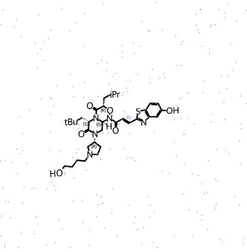 CC(C)C[C@H]1ON(C(=O)/C=C/c2nc3cc(O)ccc3s2)[C@H]2CN([C@@H]3CCN(CCCCO)C3)C(=O)[C@H](CC(C)(C)C)N2C1=O